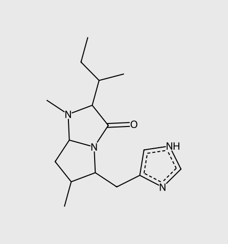 CCC(C)C1C(=O)N2C(Cc3c[nH]cn3)C(C)CC2N1C